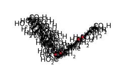 CC(C)C[C@H](N)C(=O)O.CC(C)[C@H](N)C(=O)O.CSCC[C@H](N)C(=O)O.C[C@@H](O)[C@H](N)C(=O)O.N=C(N)NCCC[C@H](N)C(=O)O.N=C(N)NCCC[C@H](N)C(=O)O.NC(=O)CC[C@H](N)C(=O)O.NCC(=O)O.NCC(=O)O.NCC(=O)O.NCCCC[C@H](N)C(=O)O.NCCCC[C@H](N)C(=O)O.NCCCC[C@H](N)C(=O)O.N[C@@H](CCC(=O)O)C(=O)O.N[C@@H](CO)C(=O)O.N[C@@H](CS)C(=O)O.N[C@@H](Cc1c[nH]cn1)C(=O)O